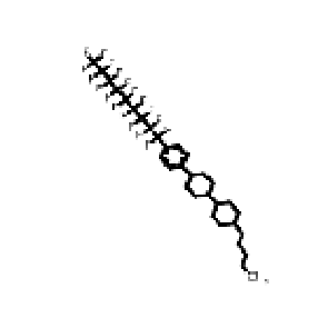 CCCCCC1CCC(C2CCC(c3ccc(C(F)(F)C(F)(F)C(F)(F)C(F)(F)C(F)(F)C(F)(F)C(F)(F)C(F)(F)C(F)(F)F)cc3)CC2)CC1